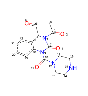 CC(=O)N(C[C]=O)C(=O)N(C(=O)N1CCNCC1)c1ccccc1